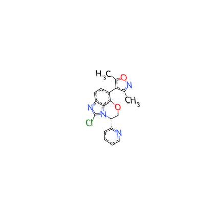 Cc1noc(C)c1-c1ccc2nc(Cl)n3c2c1OC[C@@H]3c1ccccn1